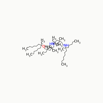 CCCCCCCC(C)(CCCCC)NCCC(C)(C)CC(C)(C)NCC(C)(C)CC(C)(CC)COC(C)(CCCCCC)CCCCCC